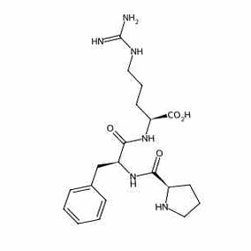 N=C(N)NCCC[C@H](NC(=O)[C@H](Cc1ccccc1)NC(=O)[C@H]1CCCN1)C(=O)O